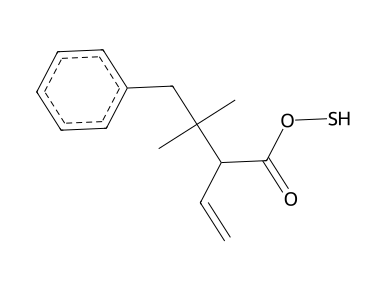 C=CC(C(=O)OS)C(C)(C)Cc1ccccc1